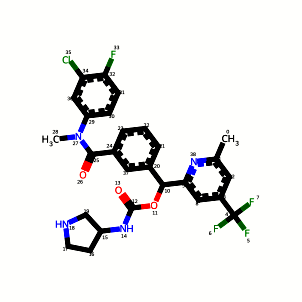 Cc1cc(C(F)(F)F)cc(C(OC(=O)NC2CCNC2)c2cccc(C(=O)N(C)c3ccc(F)c(Cl)c3)c2)n1